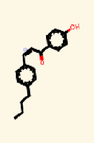 CCCCc1ccc(/C=C\C(=O)c2ccc(O)cc2)cc1